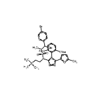 COc1cccc(OC)c1-n1c(-c2ccc(C)o2)nnc1N(CC[Si](C)(C)C)S(=O)(=O)C(C)C(O)c1ccc(Br)cn1